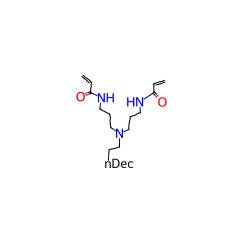 C=CC(=O)NCCCN(CCCCCCCCCCCC)CCCNC(=O)C=C